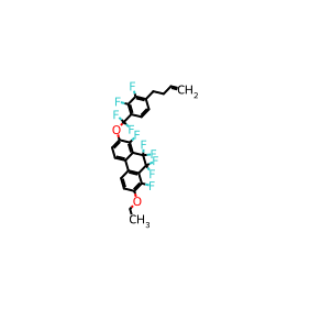 C=CCCc1ccc(C(F)(F)Oc2ccc3c(c2F)C(F)(F)C(F)(F)c2c-3ccc(OCC)c2F)c(F)c1F